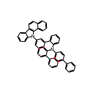 c1ccc(-c2ccc(N(c3ccccc3-c3ccccc3)c3ccccc3-c3cccc(-n4c5ccccc5c5ccc6ccccc6c54)c3)cc2)cc1